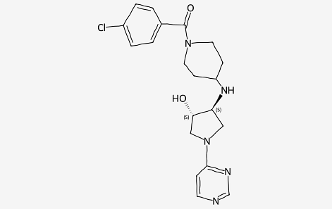 O=C(c1ccc(Cl)cc1)N1CCC(N[C@H]2CN(c3ccncn3)C[C@@H]2O)CC1